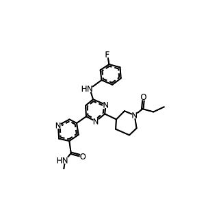 CCC(=O)N1CCCC(c2nc(Nc3cccc(F)c3)cc(-c3cncc(C(=O)NC)c3)n2)C1